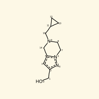 OCc1cc2n(n1)CCN(CC1CC1)C2